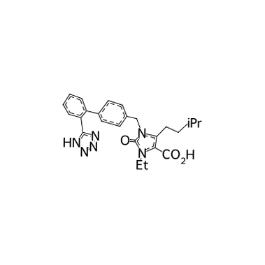 CCn1c(C(=O)O)c(CCC(C)C)n(Cc2ccc(-c3ccccc3-c3nnn[nH]3)cc2)c1=O